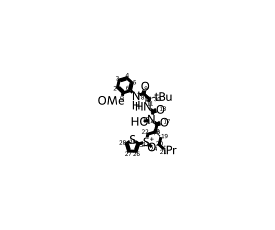 COc1ccccc1NC(=O)[C@@H](NC(=O)N(O)C(=O)[C@H](CCC(C)C)C[S+]([O-])c1cccs1)C(C)(C)C